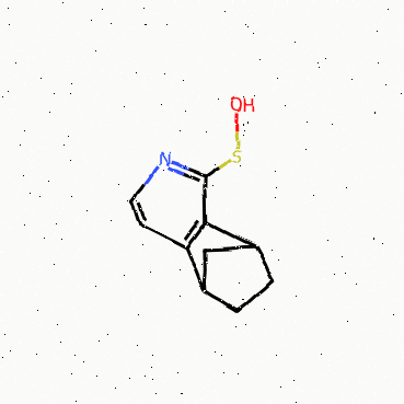 OSc1nccc2c1C1CCC2C1